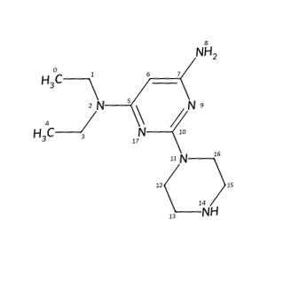 CCN(CC)c1cc(N)nc(N2CCNCC2)n1